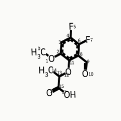 COc1cc(F)c(F)c(C=O)c1OC(C)C(=O)O